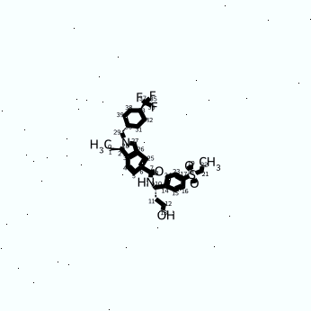 CC[C@@H]1c2ccc(C(=O)N[C@@H](CCO)c3ccc(S(=O)(=O)CC)cc3)cc2CN1C[C@H]1CC[C@H](C(F)(F)F)CC1